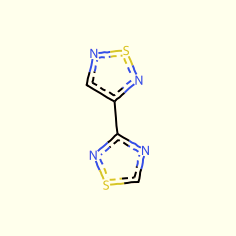 c1nc(-c2cnsn2)ns1